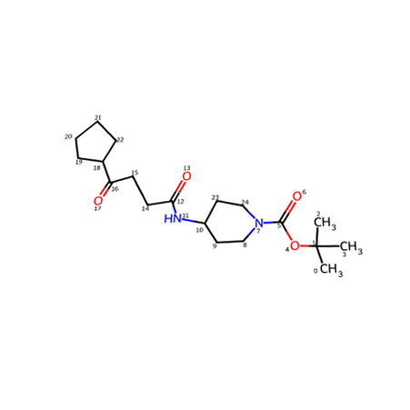 CC(C)(C)OC(=O)N1CCC(NC(=O)CCC(=O)C2CCCC2)CC1